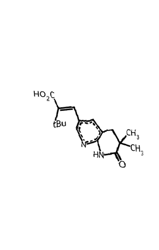 CC1(C)Cc2cc(/C=C(/C(=O)O)C(C)(C)C)cnc2NC1=O